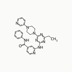 CCc1nc(Nc2cc(C(=O)Nc3ccccc3)ccn2)nc(N2CCN(c3cccnc3)CC2)n1